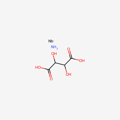 N.O=C(O)C(O)C(O)C(=O)O.[Nb]